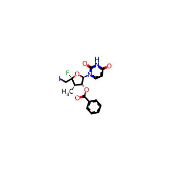 C[C@H]1[C@@H](OC(=O)c2ccccc2)[C@H](n2ccc(=O)[nH]c2=O)O[C@]1(F)CI